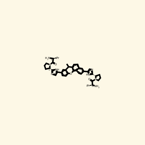 CC1c2cc(-c3cnc([C@@H]4CCCN4C(=O)[C@@H](N)C(C)C)[nH]3)ccc2Oc2c1ccc1cc(-c3cnc([C@@H]4CCCN4C(=O)[C@@H](N)C(C)C)[nH]3)ccc21